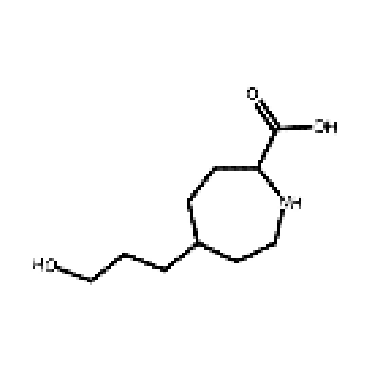 O=C(O)C1CCC(CCCO)CCN1